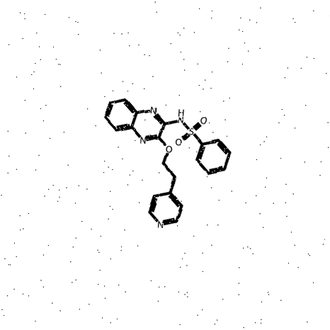 O=S(=O)(Nc1nc2ccccc2nc1OCCc1ccncc1)c1ccccc1